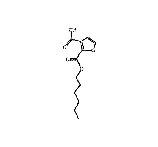 CCCCCCOC(=O)c1occc1C(=O)O